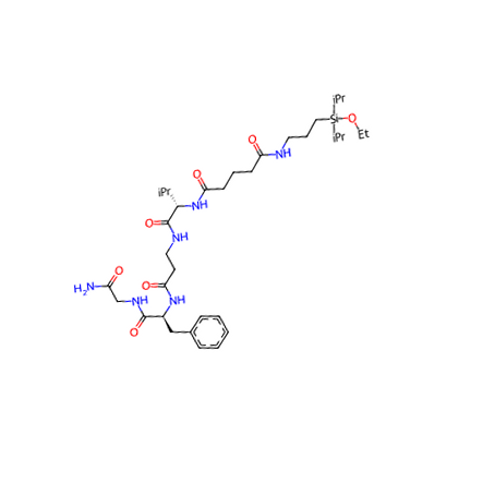 CCO[Si](CCCNC(=O)CCCC(=O)N[C@H](C(=O)NCCC(=O)N[C@@H](Cc1ccccc1)C(=O)NCC(N)=O)C(C)C)(C(C)C)C(C)C